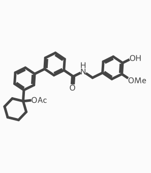 COc1cc(CNC(=O)c2cccc(-c3cccc(C4(OC(C)=O)CCCCC4)c3)c2)ccc1O